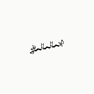 CO[Si](C)(C)CCCNCCCNCCC[Si](C)(OC)OC